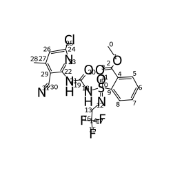 COC(=O)c1ccccc1S(=O)(=NCC(F)(F)F)NC(=O)Nc1nc(Cl)cc(C)c1C#N